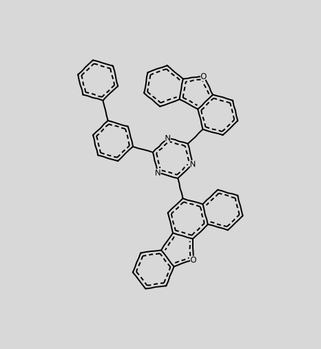 c1ccc(-c2cccc(-c3nc(-c4cc5c6ccccc6oc5c5ccccc45)nc(-c4cccc5oc6ccccc6c45)n3)c2)cc1